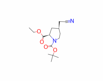 CCOC(=O)[C@H]1C[C@@H](CC#N)CCN1C(=O)OC(C)(C)C